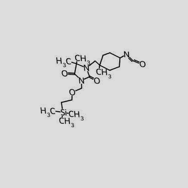 CC1(CN2C(=O)N(COCC[Si](C)(C)C)C(=O)C2(C)C)CCC(N=C=O)CC1